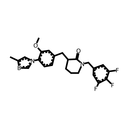 COc1cc(CC2CCCN(Cc3cc(F)c(F)c(F)c3)C2=O)ccc1-n1cbc(C)c1